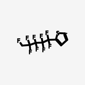 FCC(F)(F)C(F)(F)C(F)(F)C(F)(F)c1cc[c]s1